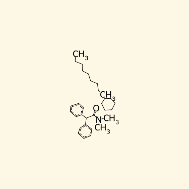 C1CCCCC1.CCCCCCCCC.CN(C)C(=O)C(c1ccccc1)c1ccccc1